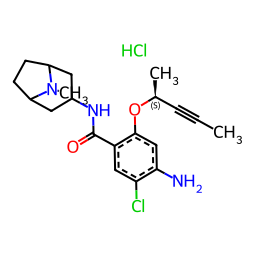 CC#C[C@H](C)Oc1cc(N)c(Cl)cc1C(=O)NC1CC2CCC(C1)N2C.Cl